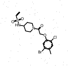 C=CS(=O)(=O)NC1CCN(C(=O)COc2cc(Br)c(C)cc2Cl)CC1